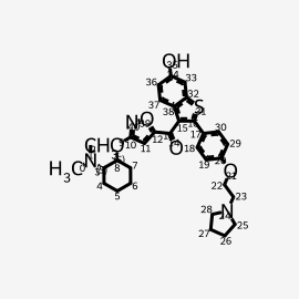 CN(C)[C@H]1CCCC[C@@H]1Oc1cc(C(=O)c2c(-c3ccc(OCCN4CCCC4)cc3)sc3cc(O)ccc23)on1